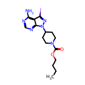 CCCCOC(=O)N1CCC(n2nc(I)c3c(N)ncnc32)CC1